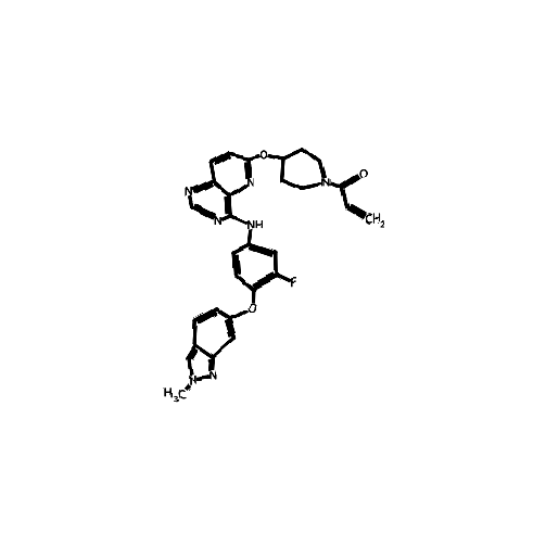 C=CC(=O)N1CCC(Oc2ccc3ncnc(Nc4ccc(Oc5ccc6cn(C)nc6c5)c(F)c4)c3n2)CC1